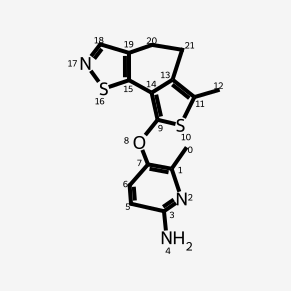 Cc1nc(N)ccc1Oc1sc(C)c2c1-c1sncc1CC2